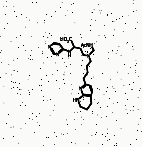 CC(=O)NCN(CCCCc1ccc2c(n1)NCCC2)CCC(Nc1ccncn1)C(=O)O